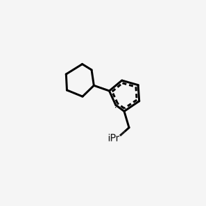 CC(C)Cc1[c]c(C2CCCCC2)ccc1